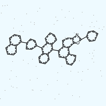 c1ccc(-c2nc3ccc4c(-c5c6ccccc6c(-c6ccc(-c7cccc8ccccc78)cc6)c6ccccc56)cc5ccccc5c4c3o2)cc1